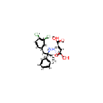 CC(N)(Cc1ccc(Cl)c(Cl)c1)c1ccccc1.O=C(O)C=CC(=O)O